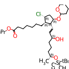 CCCOC(=O)CCCCCC[C@@H]1[C@@H](C=C[C@@H](O)CCC[C@@H](C)O[Si](C)(C)C(C)(C)C)[C@H](OC2CCCCO2)C[C@H]1Cl